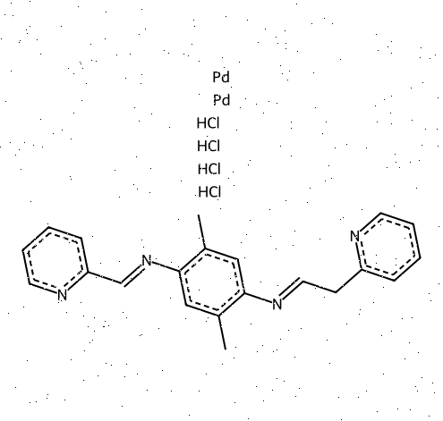 Cc1cc(N=Cc2ccccn2)c(C)cc1N=CCc1ccccn1.Cl.Cl.Cl.Cl.[Pd].[Pd]